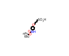 CCCC(OC(=O)N[C@H]1CC[C@H](OCCCCS(=O)(=O)O)CC1)C(C)(C)C